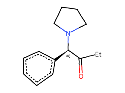 CCC(=O)[C@@H](c1ccccc1)N1CCCC1